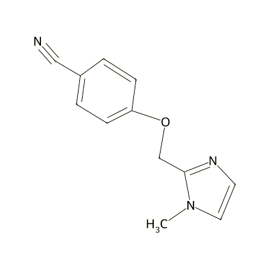 Cn1ccnc1COc1ccc(C#N)cc1